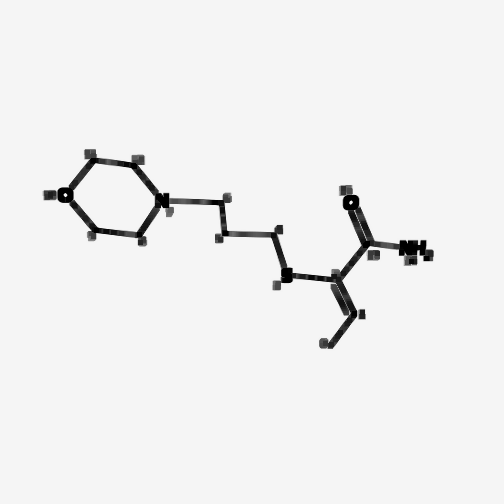 C/C=C(\SCCCN1CCOCC1)C(N)=O